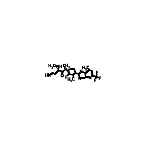 CN/C(=C\C=N)C(=O)N(C)c1ccc(-c2ncc3nc(C(F)(F)F)cc(C)c3n2)c(C)c1F